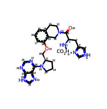 O=C(O)NC(Cc1c[nH]cn1)C(=O)N1CCc2cccc(OC[C@H]3CCCN3c3ncnc4[nH]cnc34)c2C1